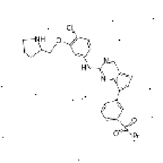 CC(C)S(=O)(=O)c1cccc(-c2ccc3cnc(Nc4ccc(Cl)c(OCC5CCCN5)c4)nn23)c1